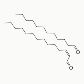 CCCCCCCCCCC/C=C\C=O.CCCCCCCCCCCC=O